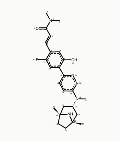 CN(C)C(=O)/C=C/c1cc(O)c(-c2ccc(N(C)[C@@H]3C[C@]4(C)CC[C@](C)(C3)N4)nn2)cc1F